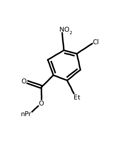 CCCOC(=O)c1cc([N+](=O)[O-])c(Cl)cc1CC